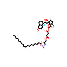 CCCCCCCC/C=C\CCCCCCCC(=O)OC(COC(=O)CCC(=O)OCC(=O)[C@@]1(O)[C@H](C)C[C@@H](C)[C@]1(C)C[C@H](O)[C@@]1(F)CCCC2=CC(=O)C=C[C@@]21C)CN(C)C